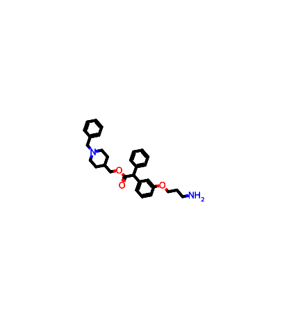 NCCCOc1cccc(C(C(=O)OCC2CCN(Cc3ccccc3)CC2)c2ccccc2)c1